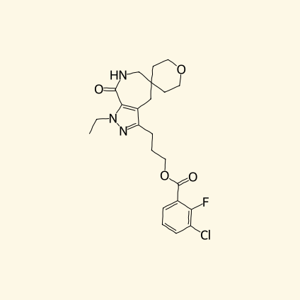 CCn1nc(CCCOC(=O)c2cccc(Cl)c2F)c2c1C(=O)NCC1(CCOCC1)C2